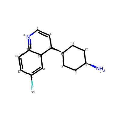 N[C@H]1CC[C@@H](C2C=CN=C3C=CC(F)=CC32)CC1